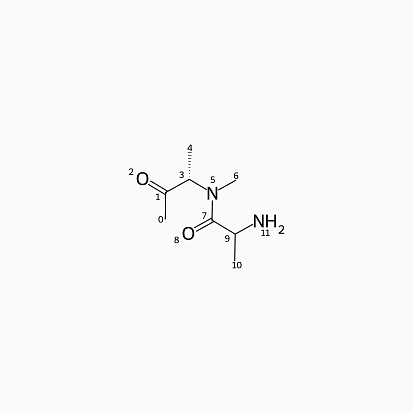 CC(=O)[C@H](C)N(C)C(=O)C(C)N